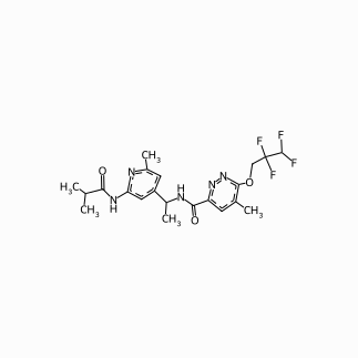 Cc1cc(C(C)NC(=O)c2cc(C)c(OCC(F)(F)C(F)F)nn2)cc(NC(=O)C(C)C)n1